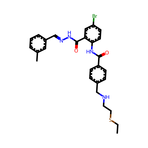 CCSCCNCc1ccc(C(=O)Nc2ccc(Br)cc2C(=O)NN=Cc2cccc(C)c2)cc1